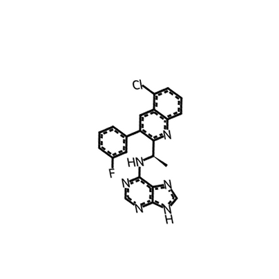 C[C@@H](Nc1ncnc2[nH]cnc12)c1nc2cccc(Cl)c2cc1-c1cccc(F)c1